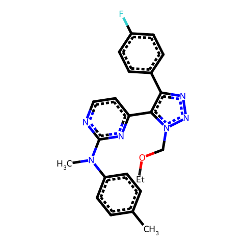 CCOCn1nnc(-c2ccc(F)cc2)c1-c1ccnc(N(C)c2ccc(C)cc2)n1